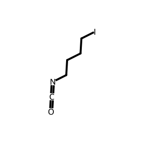 O=C=NCCCCI